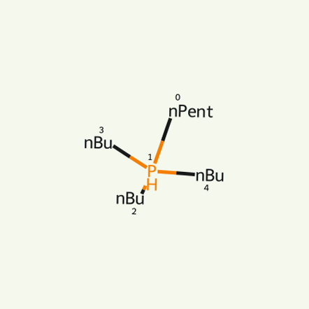 CCCCC[PH](CCCC)(CCCC)CCCC